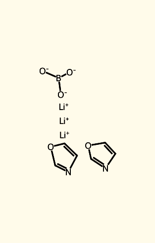 [Li+].[Li+].[Li+].[O-]B([O-])[O-].c1cocn1.c1cocn1